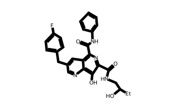 CCC(O)CNC(=O)c1nc(C(=O)Nc2ccccc2)c2cc(Cc3ccc(F)cc3)cnc2c1O